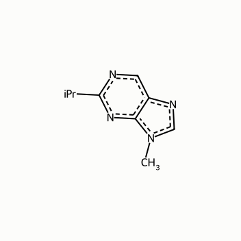 CC(C)c1ncc2ncn(C)c2n1